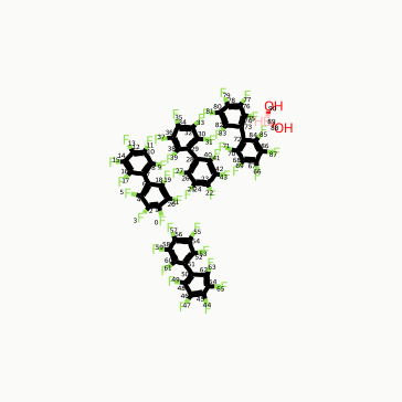 Fc1c(F)c(F)c(-c2c(F)c(F)c(F)c(F)c2F)c(F)c1F.Fc1c(F)c(F)c(-c2c(F)c(F)c(F)c(F)c2F)c(F)c1F.Fc1c(F)c(F)c(-c2c(F)c(F)c(F)c(F)c2F)c(F)c1F.Fc1c(F)c(F)c(-c2c(F)c(F)c(F)c(F)c2F)c(F)c1F.OBO